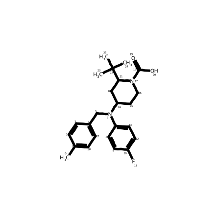 Cc1ccc(CN(c2ccc(F)cc2)C2CCN(C(=O)O)C(C(C)(C)C)C2)cc1